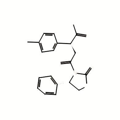 C=C(C)[C@@H](CC(=O)N1C(=O)OC[C@@H]1c1ccccc1)c1ccc(Cl)cc1